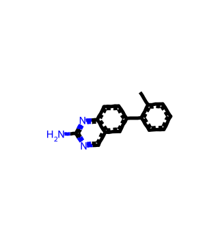 Cc1ccccc1-c1ccc2nc(N)ncc2c1